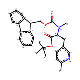 Cc1ccc(C[C@@H](C(=O)OC(C)(C)C)N(C)C(=O)OCC2c3ccccc3-c3ccccc32)cn1